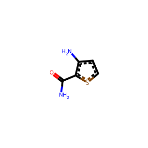 NC(=O)c1sccc1N